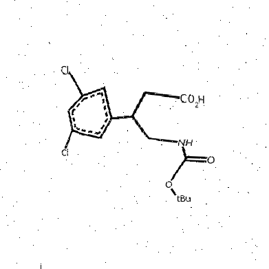 CC(C)(C)OC(=O)NCC(CC(=O)O)c1cc(Cl)cc(Cl)c1